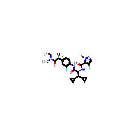 CCn1ncc(F)c1C(=O)N[C@H](C(=O)Nc1ccc([C@H](C)C(=O)N(C)CC(F)(F)F)cc1F)C(C1CC1)C1CC1